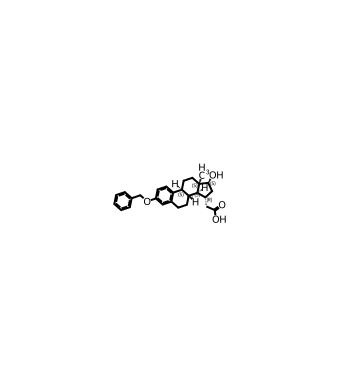 C[C@]12CC[C@@H]3c4ccc(OCc5ccccc5)cc4CC[C@H]3[C@@H]1[C@@H](CC(=O)O)C[C@@H]2O